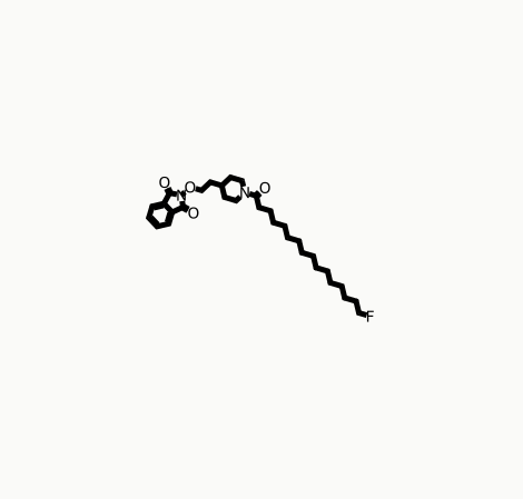 O=C(CCCCCCCCCCCCCCCF)N1CCC(CCON2C(=O)c3ccccc3C2=O)CC1